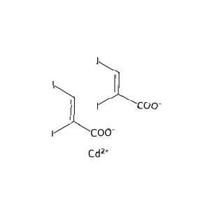 O=C([O-])C(I)=CI.O=C([O-])C(I)=CI.[Cd+2]